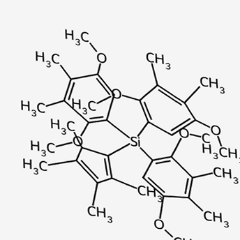 COc1cc([Si](C2=C(C)C(C)=C(C)C2C)(c2cc(OC)c(C)c(C)c2OC)c2cc(OC)c(C)c(C)c2OC)c(OC)c(C)c1C